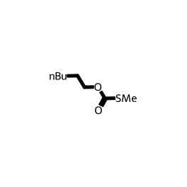 [CH2]CCCCCOC(=O)SC